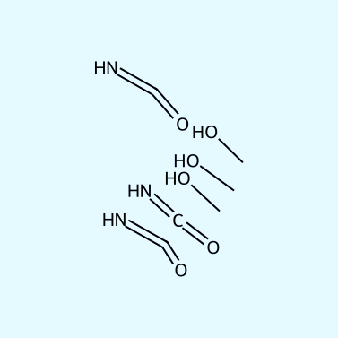 CO.CO.CO.N=C=O.N=C=O.N=C=O